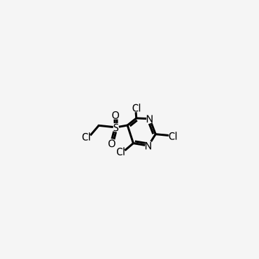 O=S(=O)(CCl)c1c(Cl)nc(Cl)nc1Cl